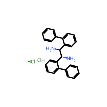 Cl.Cl.N[C@@H](c1ccccc1-c1ccccc1)[C@@H](N)c1ccccc1-c1ccccc1